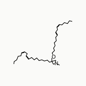 CCCCC/C=C\C/C=C\CCCCCCCCC1(COCCCCCCC/C=C/C/C=C\CCCCC)CN(C)C1